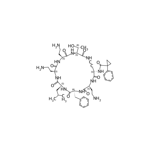 CC(C)C[C@@H]1NC(=O)[C@@H](Cc2ccccc2)NC(=O)[C@H](CCN)NC(=O)[C@@H](NC(=O)C2(c3ccccc3)CC2)CCNC(=O)[C@H]([C@@H](C)O)NC(=O)[C@H](CCN)NC(=O)[C@H](CCN)NC1=O